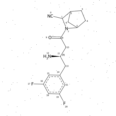 N#CC1C2CCC(C2)N1C(=O)C[C@H](N)Cc1cc(F)cc(F)c1